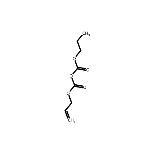 C=CCOC(=O)OC(=O)OCCC